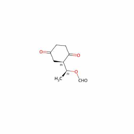 C[C@H](OC=O)[C@H]1CC(=O)CCC1=O